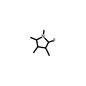 CC1C(C)C(F)N(C)C1C